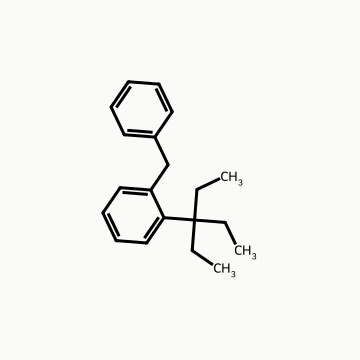 CCC(CC)(CC)c1ccccc1Cc1ccccc1